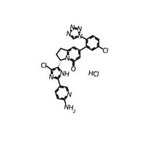 Cl.Nc1ccc(-c2nc(Cl)c([C@@H]3CCc4cc(-c5cc(Cl)ccc5-n5cnnn5)cc(=O)n43)[nH]2)cn1